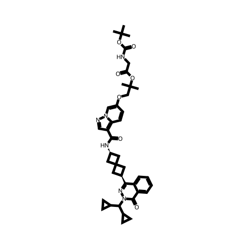 CC(C)(C)OC(=O)NCC(=O)OC(C)(C)COc1ccc2c(C(=O)N[C@H]3CC4(C3)C[C@H](c3nn(C(C5CC5)C5CC5)c(=O)c5ccccc53)C4)cnn2c1